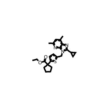 CCOC(=O)C1(c2ccc(Cn3c(C4CC4)nc4c(C)cc(C)nc43)s2)CCCC1